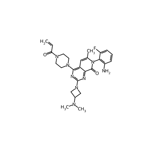 C=CC(=O)N1CCN(c2nc(N3CC(N(C)C)C3)nc3c(=O)n(-c4c(N)cccc4F)c(C)cc23)CC1